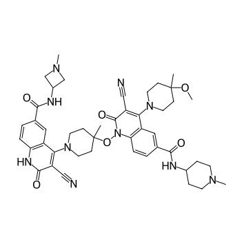 COC1(C)CCN(c2c(C#N)c(=O)n(OC3(C)CCN(c4c(C#N)c(=O)[nH]c5ccc(C(=O)NC6CN(C)C6)cc45)CC3)c3ccc(C(=O)NC4CCN(C)CC4)cc23)CC1